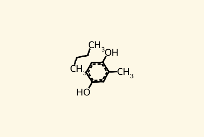 CCCC.Cc1cc(O)ccc1O